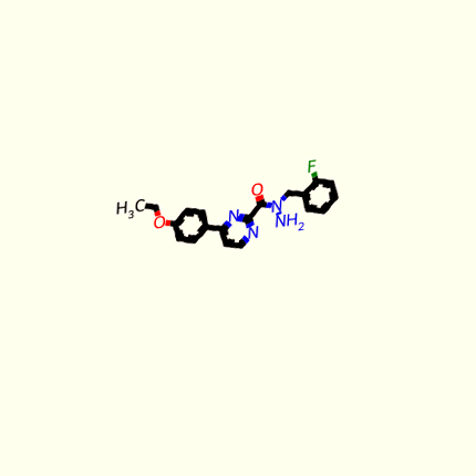 CCOc1ccc(-c2ccnc(C(=O)N(N)Cc3ccccc3F)n2)cc1